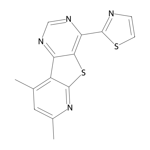 Cc1cc(C)c2c(n1)sc1c(-c3nccs3)ncnc12